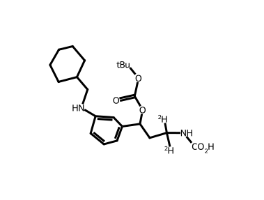 [2H]C([2H])(CC(OC(=O)OC(C)(C)C)c1cccc(NCC2CCCCC2)c1)NC(=O)O